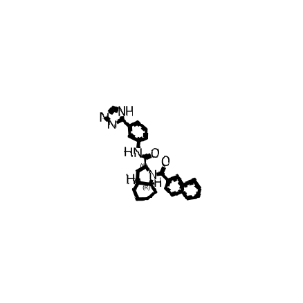 O=C(Nc1cccc(-c2nnc[nH]2)c1)[C@@H]1C[C@H]2CCCC[C@H]2N1C(=O)c1ccc2ccccc2c1